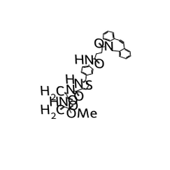 C=C(NC(=O)c1csc(-c2ccc(NC(=O)CCC(=O)N3Cc4ccccc4C#Cc4ccccc43)cc2)n1)C(=O)NC(=C)C(=O)OC